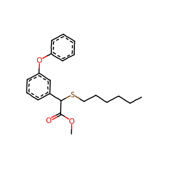 CCCCCCSC(C(=O)OC)c1cccc(Oc2ccccc2)c1